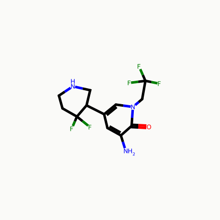 Nc1cc(C2CNCCC2(F)F)cn(CC(F)(F)F)c1=O